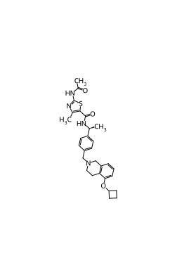 CC(=O)Nc1nc(C)c(C(=O)N[C@@H](C)c2ccc(CN3CCc4c(cccc4OC4CCC4)C3)cc2)s1